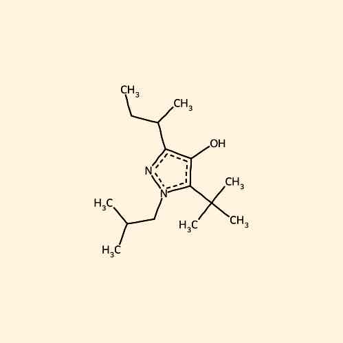 CCC(C)c1nn(CC(C)C)c(C(C)(C)C)c1O